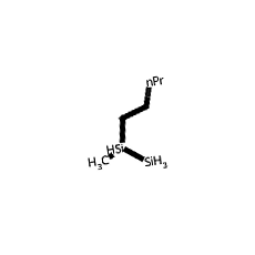 CCCC[CH][SiH](C)[SiH3]